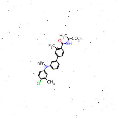 CCCN(c1cccc(-c2ccc(C(=O)NC(C)C(=O)O)c(C(F)(F)F)c2)c1)c1ccc(Cl)c(C)c1